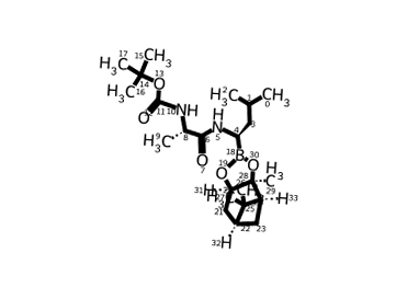 CC(C)C[C@H](NC(=O)[C@H](C)NC(=O)OC(C)(C)C)B1O[C@@H]2C[C@@H]3C[C@@H](C3(C)C)[C@]2(C)O1